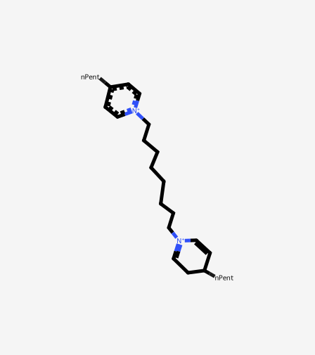 CCCCCc1cc[n+](CCCCCCCC[N+]2=CCC(CCCCC)C=C2)cc1